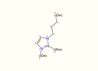 CCCCCCCCCCCCCn1cc[n+](CCCCCCCCCC)c1CCCCCCCCC